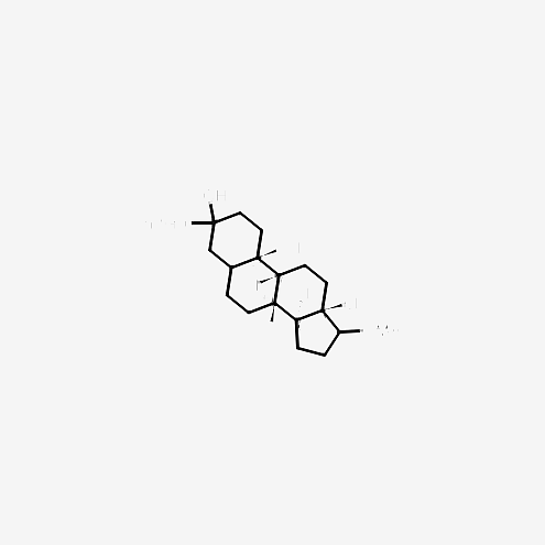 CCCCCC1(O)CC[C@@]2(C)C(CC[C@@H]3[C@H]2CC[C@]2(C)C(OC)CC[C@@H]32)C1